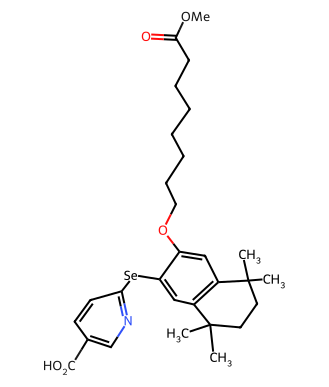 COC(=O)CCCCCCCOc1cc2c(cc1[Se]c1ccc(C(=O)O)cn1)C(C)(C)CCC2(C)C